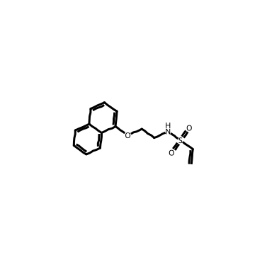 C=CS(=O)(=O)NCCOc1cccc2ccccc12